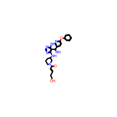 N=C(c1ccc(Oc2ccccc2)nc1)c1c(N)ncnc1NC1CCCN(C(=O)/C=C/CCO)C1